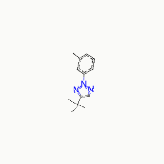 Cc1cccc(-n2ncc(C(C)(C)C)n2)c1